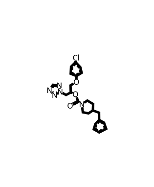 O=C(OC(COc1ccc(Cl)cc1)Cn1ncnn1)N1CCC(Cc2ccccc2)CC1